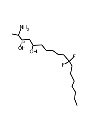 CCCCCCCC(F)(F)CCCCCC(O)C[C@H](O)C(C)N